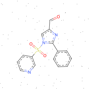 O=Cc1cn(S(=O)(=O)c2cccnc2)c(-c2ccccc2)n1